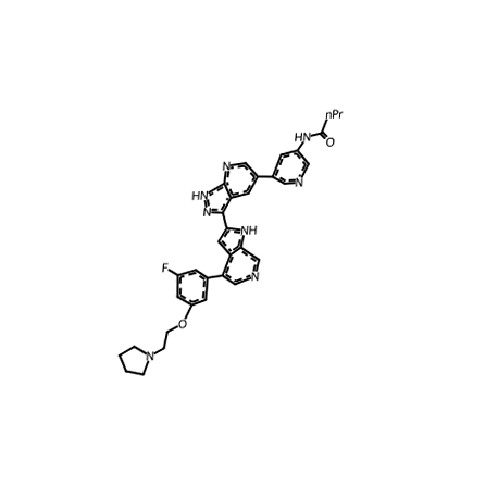 CCCC(=O)Nc1cncc(-c2cnc3[nH]nc(-c4cc5c(-c6cc(F)cc(OCCN7CCCC7)c6)cncc5[nH]4)c3c2)c1